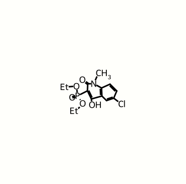 CCOP(=O)(OCC)c1c(O)c2cc(Cl)ccc2n(C)c1=O